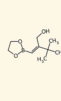 CC(C)(C)/C(=C/B1OCCO1)CO